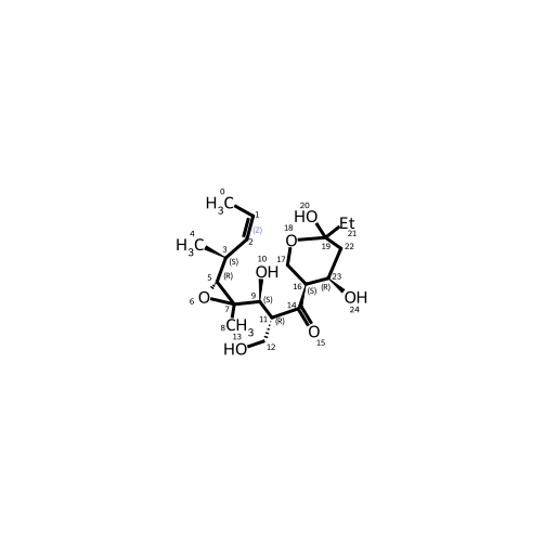 C/C=C\[C@H](C)[C@H]1OC1(C)[C@@H](O)[C@@H](CO)C(=O)[C@H]1COC(O)(CC)C[C@H]1O